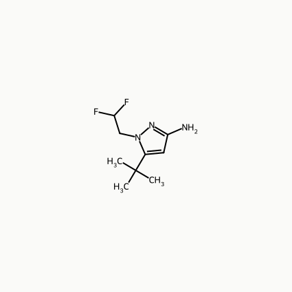 CC(C)(C)c1cc(N)nn1CC(F)F